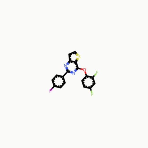 Fc1ccc(Oc2nc(-c3ccc(I)cc3)nc3ccsc23)c(F)c1